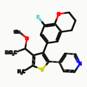 CCOC(=O)C(OC(C)(C)C)c1c(C)sc(-c2ccncc2)c1-c1cc(F)c2c(c1)CCCO2